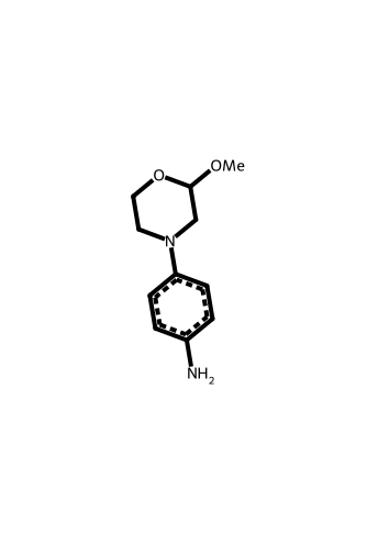 COC1CN(c2ccc(N)cc2)CCO1